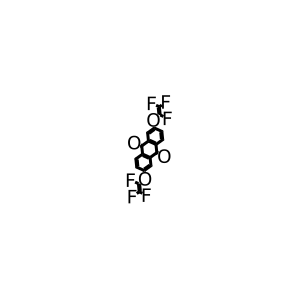 O=C1c2ccc(OC(F)=C(F)F)cc2C(=O)c2ccc(OC(F)=C(F)F)cc21